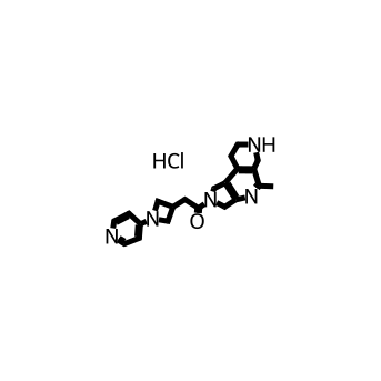 Cc1nc2c(c3c1CNCC3)CN(C(=O)CC1CN(c3ccncc3)C1)C2.Cl